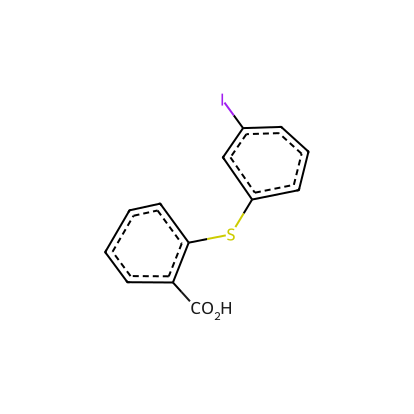 O=C(O)c1ccccc1Sc1cccc(I)c1